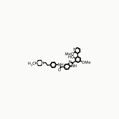 COc1cc(-c2nc3cc(C(=O)Nc4ccc(CCN5CCN(C)CC5)cc4)ccc3[nH]2)c(O)c(-c2cccnc2OC)c1